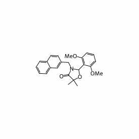 COc1cccc(OC)c1C1OC(C)(C)C(=O)N1Cc1ccc2ccccc2c1